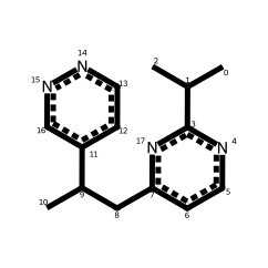 CC(C)c1nccc(CC(C)c2ccnnc2)n1